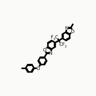 Cc1ccc(Oc2ccc(-c3nc4cc(C(c5ccc6oc(C)nc6c5)(C(F)(F)F)C(F)(F)F)ccc4o3)cc2)cc1